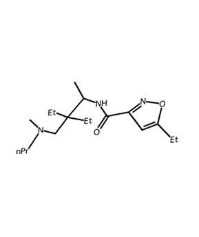 CCCN(C)CC(CC)(CC)C(C)NC(=O)c1cc(CC)on1